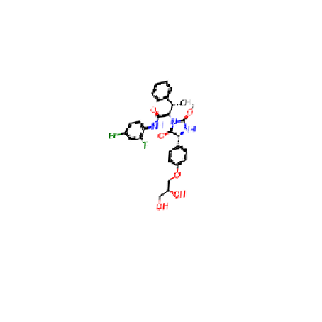 C[C@@H](c1ccccc1)[C@@H](C(=O)Nc1ccc(Br)cc1F)N1C(=O)N[C@H](c2ccc(OC[C@@H](O)CO)cc2)C1=O